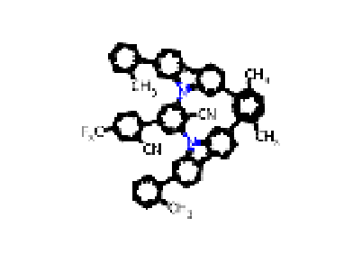 Cc1ccccc1-c1ccc2c3ccc(-c4ccccc4C)cc3n(-c3cc(-c4ccc(C(F)(F)F)cc4C#N)cc(-n4c5cc(-c6ccccc6C)ccc5c5ccc(-c6ccccc6C)cc54)c3C#N)c2c1